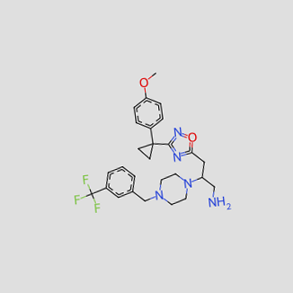 COc1ccc(C2(c3noc(CC(CN)N4CCN(Cc5cccc(C(F)(F)F)c5)CC4)n3)CC2)cc1